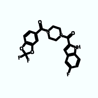 O=C(c1ccc2c(c1)OC(F)(F)O2)N1CCN(C(=O)c2cc3cc(F)ccc3[nH]2)CC1